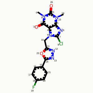 Cn1c(=O)c2c(nc(Cl)n2Cc2nnc(-c3ccc(F)cc3)o2)n(C)c1=O